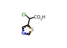 O=C(O)C(Cl)c1cncs1